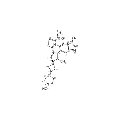 Cc1c(-c2cc(O[C@H](C)c3ccccn3)n3c(C#N)cnc3c2)nnn1C1CN(C2CCN(C#N)CC2)C1